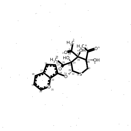 CC(=O)[C@]1(O)[C@@](O)(C(C)=O)CS[C@H](Oc2ccc3cccoc2-3)[C@@]1(O)C(C)=O